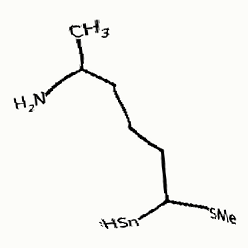 CS[CH]([SnH])CCCC(C)N